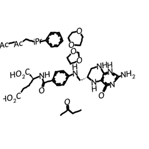 C1COCCO1.C1COCO1.CC(=O)CC(C)C.CC(C)=O.CCC(C)=O.Cc1ccccc1.Nc1nc(=O)c2c([nH]1)NC[C@@H](CNc1ccc(C(=O)N[C@@H](CCC(=O)O)C(=O)O)cc1)N2